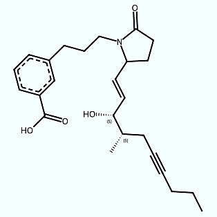 CCCC#CC[C@H](C)[C@H](O)C=CC1CCC(=O)N1CCCc1cccc(C(=O)O)c1